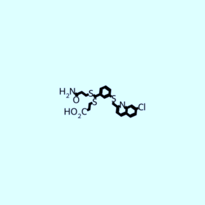 NC(=O)CCSC(SCCC(=O)O)c1cccc(SCc2ccc3ccc(Cl)cc3n2)c1